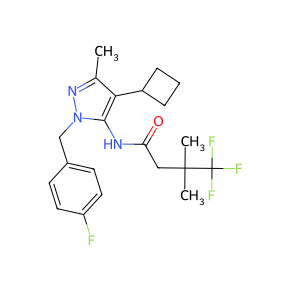 Cc1nn(Cc2ccc(F)cc2)c(NC(=O)CC(C)(C)C(F)(F)F)c1C1CCC1